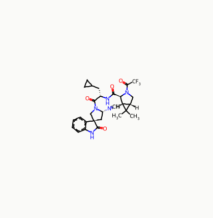 C#[N+][C@@H]1C[C@@]2(CN1C(=O)[C@H](CC1CC1)NC(=O)[C@@H]1[C@@H]3[C@H](CN1C(=O)C(F)(F)F)C3(C)C)C(=O)Nc1ccccc12